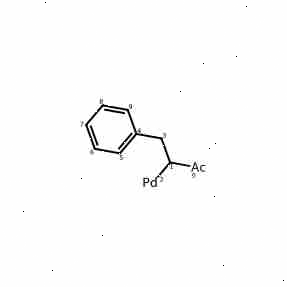 CC(=O)[CH]([Pd])Cc1ccccc1